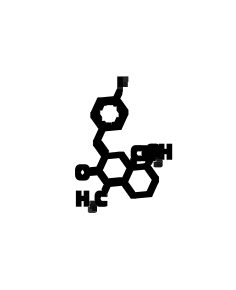 CC1=C2CCC[C@H](O)[C@@]2(C)C/C(=C\c2ccc(F)cc2)C1=O